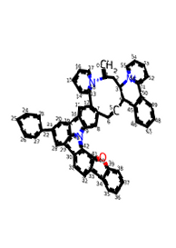 C=C1CC2C(CCc3cc4c(cc3-c3cccc[n+]31)c1cc(-c3ccccc3)cc3c5ccc6c7ccccc7oc6c5n4c13)c1ccccc1-c1cccc[n+]12